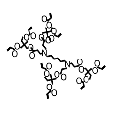 C=CC(=O)OCC(CC)(COC(=O)C=C)COC(=O)CCN(CCCCCCN(CCC(=O)OCC(CC)(COC(=O)C=C)COC(=O)C=C)CCC(=O)OCC(CC)(COC(=O)C=C)COC(=O)C=C)CCC(=O)OCC(CC)(COC(=O)C=C)COC(=O)C=C